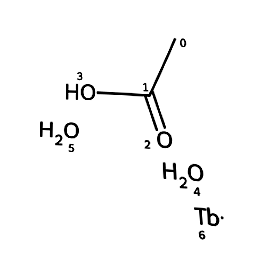 CC(=O)O.O.O.[Tb]